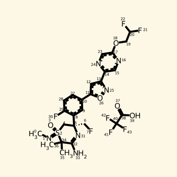 CN=S1(=O)C[C@@](CF)(c2cc(-c3cc(-c4cnc(OCC(F)F)cn4)no3)ccc2F)N=C(N)C1(C)C.O=C(O)C(F)(F)F